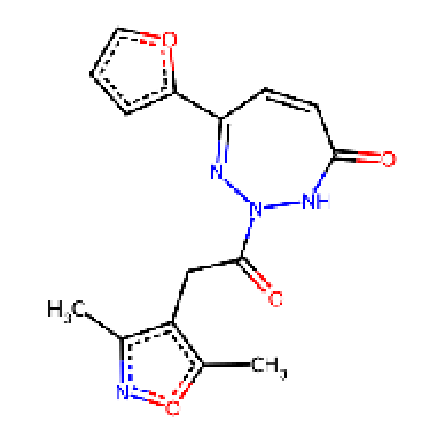 Cc1noc(C)c1CC(=O)N1N=C(c2ccco2)C=CC(=O)N1